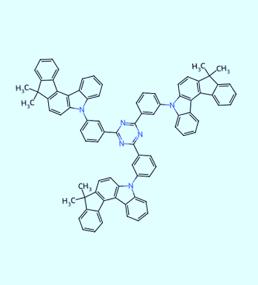 CC1(C)c2ccccc2-c2c1ccc1c2c2ccccc2n1-c1cccc(-c2nc(-c3cccc(-n4c5ccccc5c5c6c(ccc54)C(C)(C)c4ccccc4-6)c3)nc(-c3cccc(-n4c5ccccc5c5c6c(ccc54)C(C)(C)c4ccccc4-6)c3)n2)c1